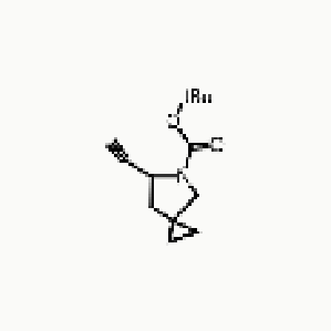 C#CC1CC2(CC2)CN1C(=O)OC(C)(C)C